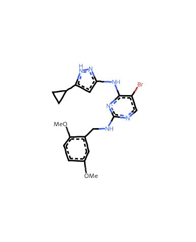 COc1ccc(OC)c(CNc2ncc(Br)c(Nc3cc(C4CC4)[nH]n3)n2)c1